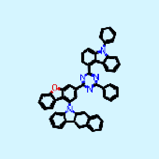 C1=C2C(Cc3ccccc31)c1ccccc1N2c1cc(-c2nc(-c3ccccc3)nc(-c3cccc4c3c3ccccc3n4-c3ccccc3)n2)cc2oc3ccccc3c12